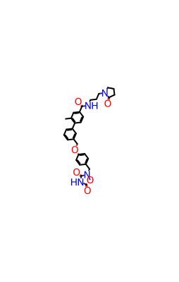 Cc1cc(C(=O)NCCCN2CCCC2=O)ccc1-c1cccc(COc2ccc(Cn3oc(=O)[nH]c3=O)cc2)c1